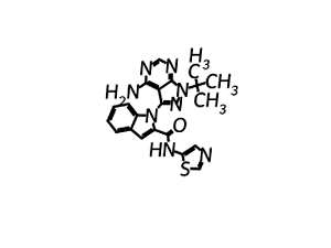 CC(C)(C)n1nc(-n2c(C(=O)Nc3cncs3)cc3ccccc32)c2c(N)ncnc21